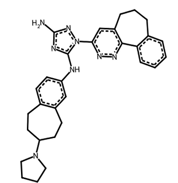 Nc1nc(Nc2ccc3c(c2)CCC(N2CCCC2)CC3)n(-c2cc3c(nn2)-c2ccccc2CCC3)n1